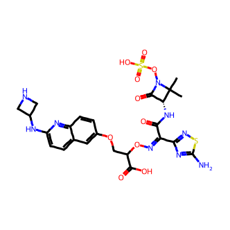 CC1(C)[C@H](NC(=O)/C(=N\OC(COc2ccc3nc(NC4CNC4)ccc3c2)C(=O)O)c2nsc(N)n2)C(=O)N1OS(=O)(=O)O